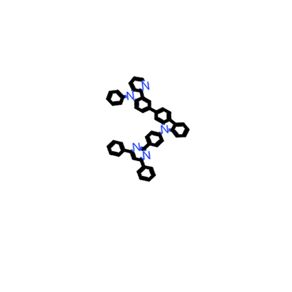 c1ccc(-c2cc(-c3ccccc3)nc(-c3ccc(-n4c5ccccc5c5ccc(-c6ccc7c(c6)c6ncccc6n7-c6ccccc6)cc54)cc3)n2)cc1